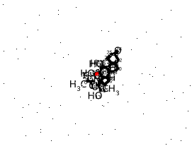 CC(C)C(C)N(C(=O)O)[C@]1(C(=O)CO)[C@@H](C)C[C@H]2[C@@H]3CCC4=CC(=O)C=C[C@]4(C)[C@@]3(F)[C@@H](O)C[C@@]21C